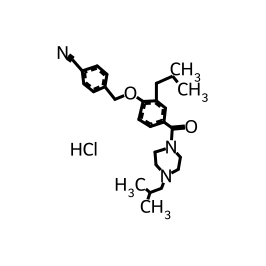 CC(C)Cc1cc(C(=O)N2CCN(CC(C)C)CC2)ccc1OCc1ccc(C#N)cc1.Cl